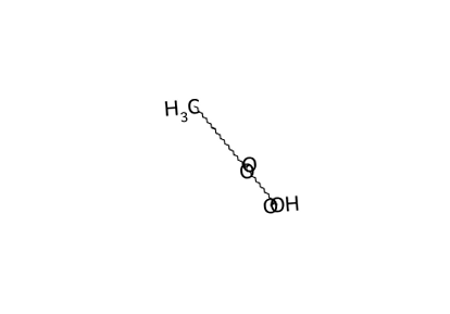 CCCCCCCCC=CCCCCCCCCCCCCCC(=O)OCCCCCCCCCCCC(=O)O